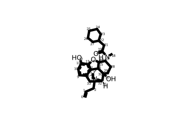 C=CCN1CC[C@]23c4c5ccc(O)c4O[C@H]2[C@H](N(C)C(=O)CC2CCCCC2)CCC3(O)[C@H]1C5